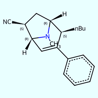 CCCC[C@H]1C(c2ccccc2)=C[C@@H]2[C@@H](C#N)C[C@H]1N2C